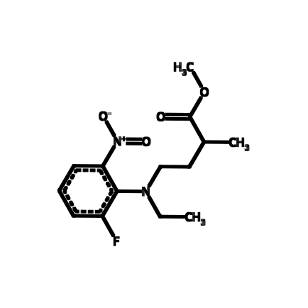 CCN(CCC(C)C(=O)OC)c1c(F)cccc1[N+](=O)[O-]